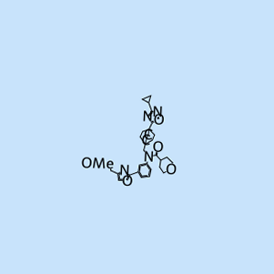 COCc1coc(-c2cccc(N(CC34CCC(c5nc(C6CC6)no5)(CC3)CC4)C(=O)C3CCOCC3)c2)n1